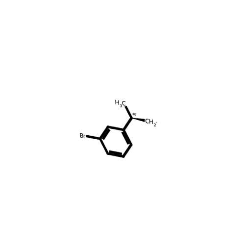 [CH2][C@H](C)c1cccc(Br)c1